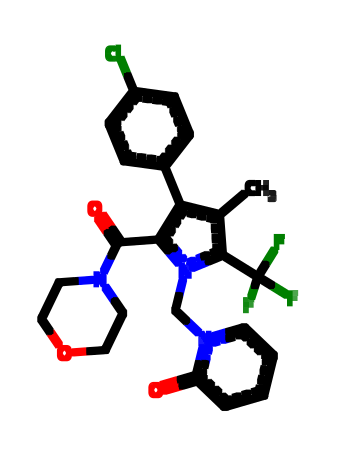 Cc1c(-c2ccc(Cl)cc2)c(C(=O)N2CCOCC2)n(Cn2ccccc2=O)c1C(F)(F)F